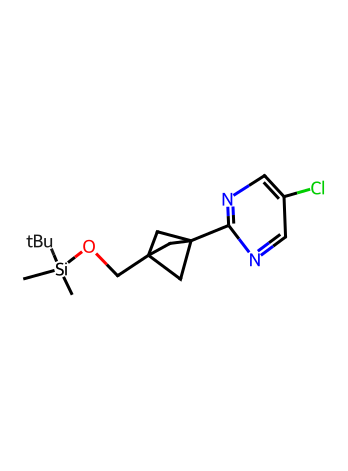 CC(C)(C)[Si](C)(C)OCC12CC(c3ncc(Cl)cn3)(C1)C2